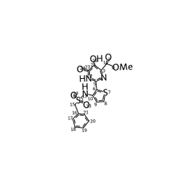 COC(=O)c1nc(-c2sccc2NS(=O)(=O)Cc2ccccc2)[nH]c(=O)c1O